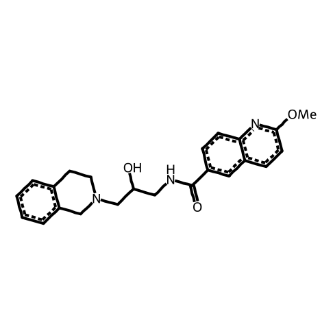 COc1ccc2cc(C(=O)NCC(O)CN3CCc4ccccc4C3)ccc2n1